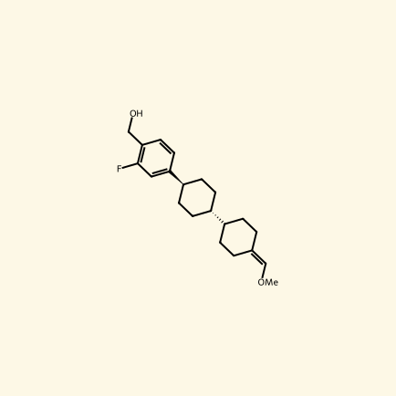 COC=C1CCC([C@H]2CC[C@H](c3ccc(CO)c(F)c3)CC2)CC1